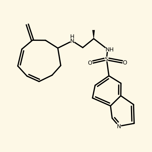 C=C1/C=C\C=C/CCC(NC[C@@H](C)NS(=O)(=O)c2ccc3cnccc3c2)C1